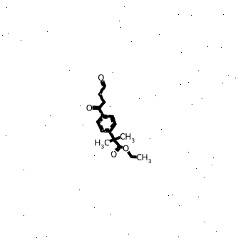 CCOC(=O)C(C)(C)c1ccc(C(=O)CCC=O)cc1